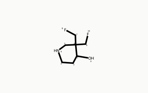 OC1CCNCC1(CF)CF